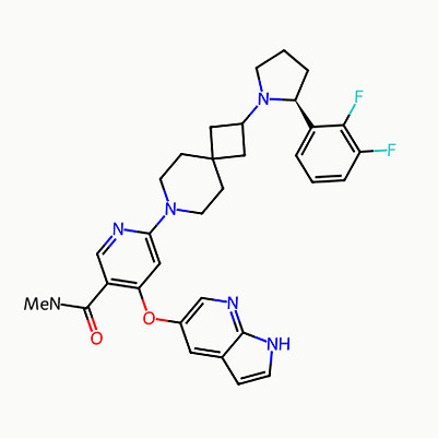 CNC(=O)c1cnc(N2CCC3(CC2)CC(N2CCC[C@H]2c2cccc(F)c2F)C3)cc1Oc1cnc2[nH]ccc2c1